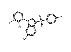 Cc1ccc(S(=O)(=O)n2cc(-c3cccc(F)c3Cl)c3cc(Br)ccc32)cc1